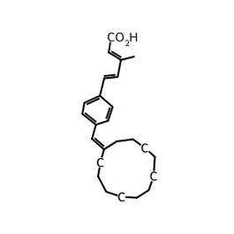 CC(C=Cc1ccc(C=C2CCCCCCCCCCC2)cc1)=CC(=O)O